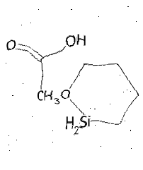 C1CC[SiH2]OC1.CC(=O)O